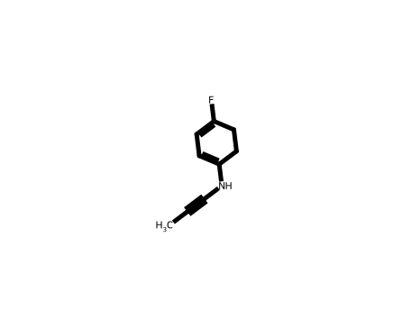 CC#CNC1=CC=C(F)CC1